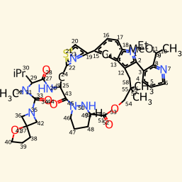 CCn1c(-c2cccnc2[C@H](C)OC)c2c3cc(ccc31)-c1csc(n1)C[C@H](NC(=O)C(C(C)C)N(C)C(=O)N1CC3(CCCO3)C1)C(=O)N1CCC[C@H](N1)C(=O)OCC(C)(C)C2